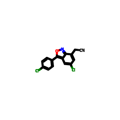 N#CCc1cc(Cl)cc2c(-c3ccc(Cl)cc3)onc12